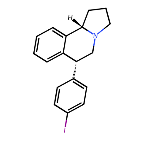 Ic1ccc([C@H]2CN3CCC[C@H]3c3ccccc32)cc1